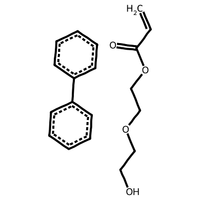 C=CC(=O)OCCOCCO.c1ccc(-c2ccccc2)cc1